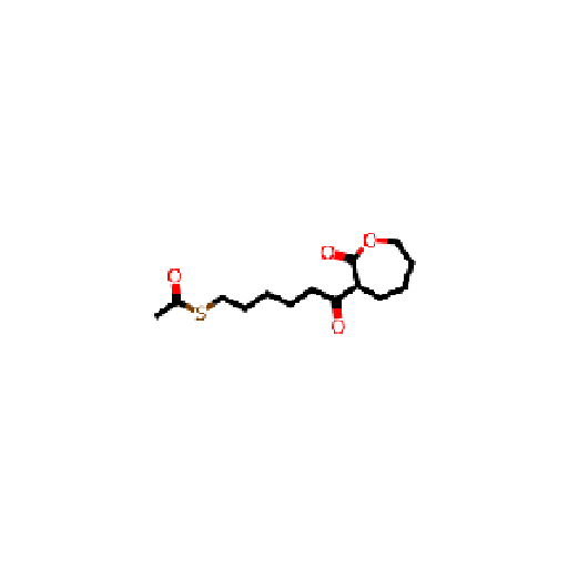 CC(=O)SCCCCCC(=O)C1CCCCOC1=O